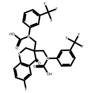 O=C(O)N(CC1(CN(C(=O)O)c2cccc(C(F)(F)F)c2)CSc2ccc(F)cc2C1=O)c1cccc(C(F)(F)F)c1